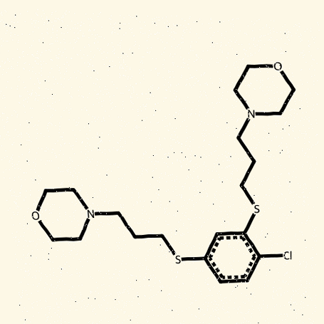 Clc1ccc(SCCCN2CCOCC2)cc1SCCCN1CCOCC1